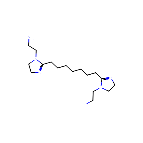 NCCN1CCN=C1CCCCCCCC1=NCCN1CCN